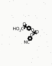 N#Cc1ccc(OCC2(COc3ccc(C4(CC(=O)O)COC4)cc3)COC2)cc1